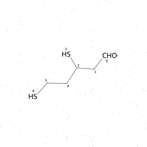 O=[C]CC(S)CCS